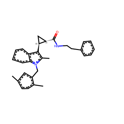 Cc1ccc(C)c(Cn2c(C)c([C@H]3C[C@@H]3C(=O)NCCc3ccccc3)c3ccccc32)c1